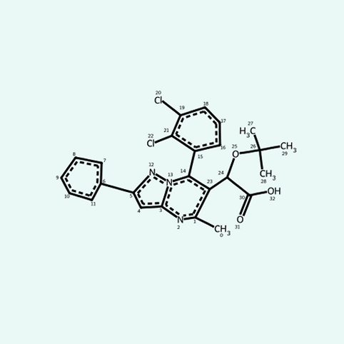 Cc1nc2cc(-c3ccccc3)nn2c(-c2cccc(Cl)c2Cl)c1C(OC(C)(C)C)C(=O)O